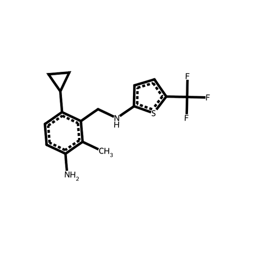 Cc1c(N)ccc(C2CC2)c1CNc1ccc(C(F)(F)F)s1